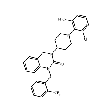 Cc1cccc(Cl)c1N1CCC(N2Cc3ccccc3N(Cc3ccccc3C(F)(F)F)C2=O)CC1